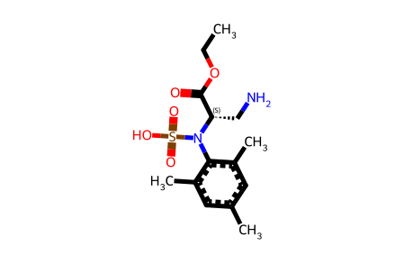 CCOC(=O)[C@H](CN)N(c1c(C)cc(C)cc1C)S(=O)(=O)O